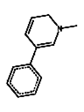 CN1C=C(c2ccccc2)C=CC1